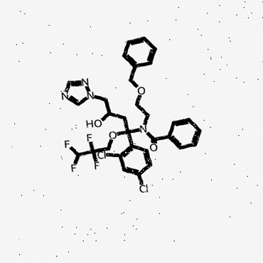 O=C(c1ccccc1)N(CCOCc1ccccc1)C(CC(O)Cn1cncn1)(OCC(F)(F)C(F)F)c1ccc(Cl)cc1Cl